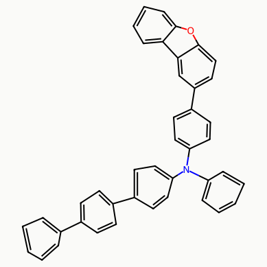 c1ccc(-c2ccc(-c3ccc(N(c4ccccc4)c4ccc(-c5ccc6oc7ccccc7c6c5)cc4)cc3)cc2)cc1